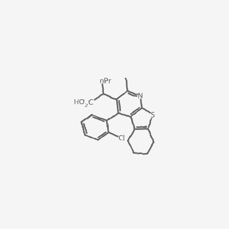 CCCC(C(=O)O)c1c(C)nc2sc3c(c2c1-c1ccccc1Cl)CCCC3